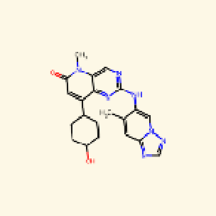 Cc1cc2ncnn2cc1Nc1ncc2c(n1)c(C1CCC(O)CC1)cc(=O)n2C